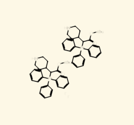 CC(C)(C)OC(=O)C(C1CCNCC1)[P+](c1ccccc1)(c1ccccc1)c1ccccc1.CC(C)(C)OC(=O)C(C1CCNCC1)[P+](c1ccccc1)(c1ccccc1)c1ccccc1.[I-].[I-]